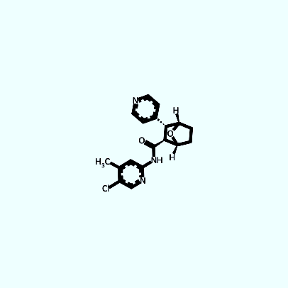 Cc1cc(NC(=O)[C@H]2[C@H](c3ccncc3)[C@@H]3CC[C@H]2O3)ncc1Cl